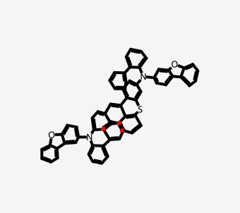 c1ccc(-c2ccccc2N(c2ccc3c(c2)Sc2cccc4c2c-3cc2ccc(N(c3ccc5oc6ccccc6c5c3)c3ccccc3-c3ccccc3)cc24)c2ccc3c(c2)oc2ccccc23)cc1